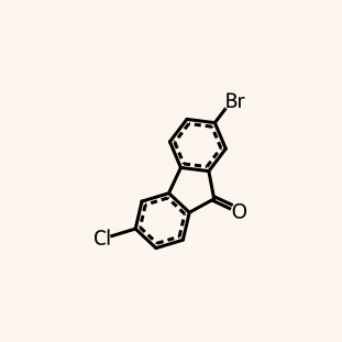 O=C1c2cc(Br)ccc2-c2cc(Cl)ccc21